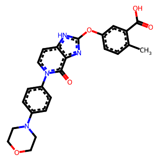 Cc1ccc(Oc2nc3c(=O)n(-c4ccc(N5CCOCC5)cc4)ccc3[nH]2)cc1C(=O)O